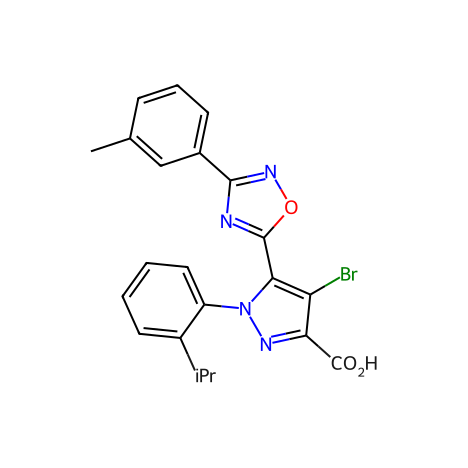 Cc1cccc(-c2noc(-c3c(Br)c(C(=O)O)nn3-c3ccccc3C(C)C)n2)c1